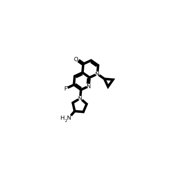 NC1CCN(c2nc3c(cc2F)c(=O)ccn3C2CC2)C1